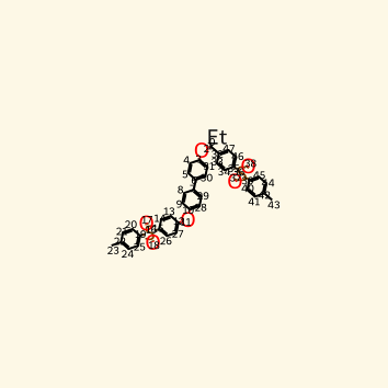 CCC(Oc1ccc(-c2ccc(Oc3ccc(S(=O)(=O)c4ccc(C)cc4)cc3)cc2)cc1)c1ccc(S(=O)(=O)c2ccc(C)cc2)cc1